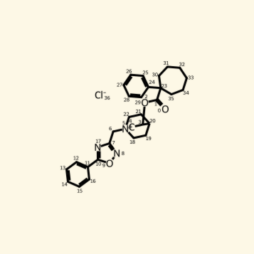 O=C(OC1C[N+]2(Cc3noc(-c4ccccc4)n3)CCC1CC2)C1(c2ccccc2)CCCCCC1.[Cl-]